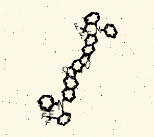 FC(F)(F)c1ccccc1N(c1ccccc1)c1ccc2cc3c(cc2c1)oc1cc2c(cc13)oc1cc3cc(N(c4ccccc4)c4ccccc4C(F)(F)F)ccc3cc12